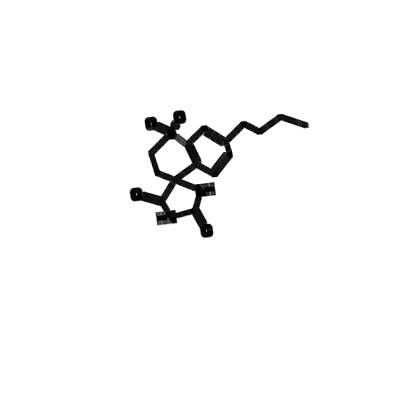 CCCCc1ccc2c(c1)S(=O)(=O)CCC21NC(=O)NC1=O